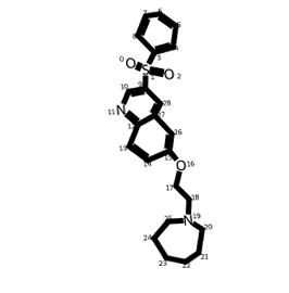 O=S(=O)(c1ccccc1)c1cnc2ccc(OCCN3CCCCCC3)cc2c1